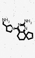 NCC1CCN(c2nc(N)nc3c2CCCC32CCCC2)C1